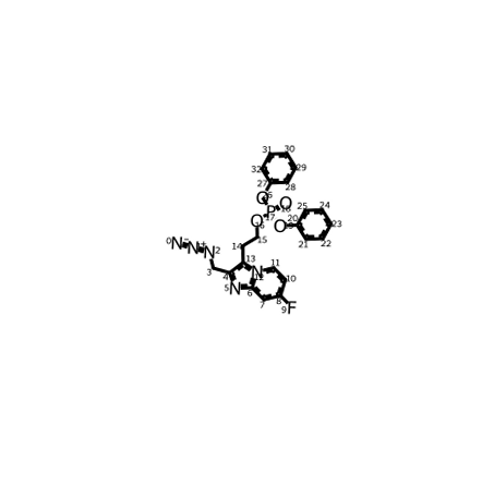 [N-]=[N+]=NCc1nc2cc(F)ccn2c1CCOP(=O)(Oc1ccccc1)Oc1ccccc1